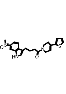 C[S+]([O-])c1ccc2c(CCCC(=O)N3CC=C(c4cccs4)CC3)c[nH]c2c1